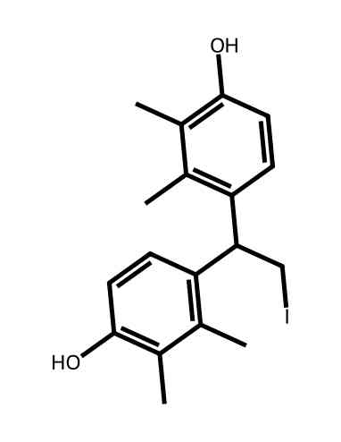 Cc1c(O)ccc(C(CI)c2ccc(O)c(C)c2C)c1C